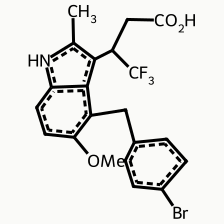 COc1ccc2[nH]c(C)c(C(CC(=O)O)C(F)(F)F)c2c1Cc1ccc(Br)cc1